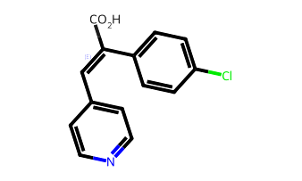 O=C(O)/C(=C/c1ccncc1)c1ccc(Cl)cc1